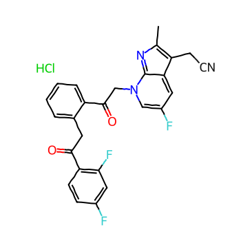 Cc1nc2n(CC(=O)c3ccccc3CC(=O)c3ccc(F)cc3F)cc(F)cc-2c1CC#N.Cl